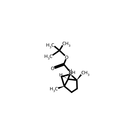 CC(C)(C)OC(=O)N[C@@H]1[C@]2(C)CC[C@@]1(C)NC2